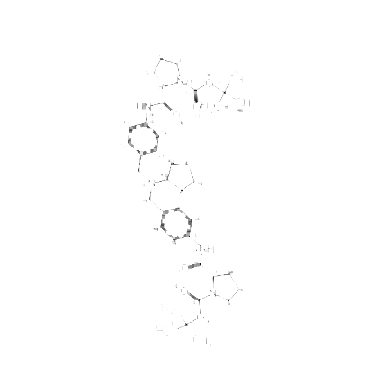 CC(C)(C)OC(=O)N1CCC[C@H]1C(=O)Nc1ccc(CN(Cc2ccc(NC(=O)[C@@H]3CCCN3C(=O)OC(C)(C)C)cc2)C2CCCC2)cc1